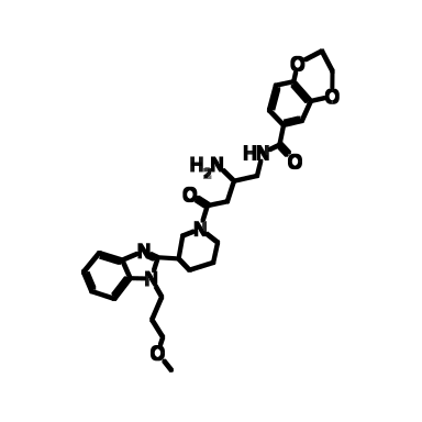 COCCCn1c(C2CCCN(C(=O)CC(N)CNC(=O)c3ccc4c(c3)OCCO4)C2)nc2ccccc21